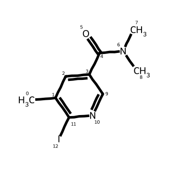 Cc1cc(C(=O)N(C)C)cnc1I